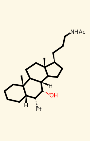 CC[C@H]1[C@@H](O)[C@H]2C3CC[C@H](CCCNC(C)=O)[C@@]3(C)CCC2[C@@]2(C)CCCC[C@@H]12